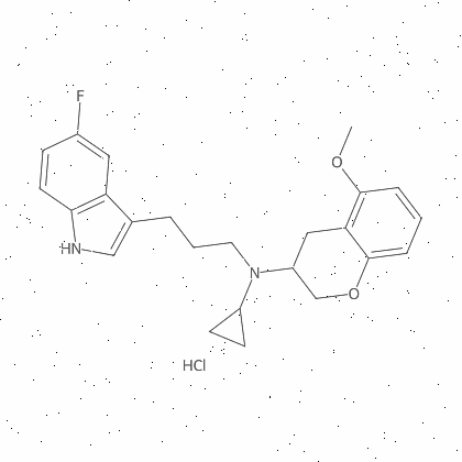 COc1cccc2c1CC(N(CCCc1c[nH]c3ccc(F)cc13)C1CC1)CO2.Cl